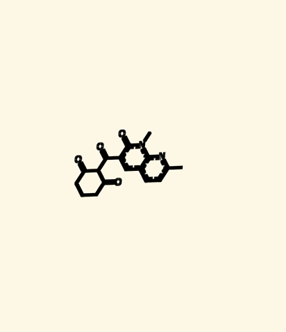 Cc1ccc2cc(C(=O)C3C(=O)CCCC3=O)c(=O)n(C)c2n1